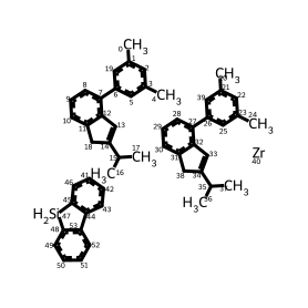 Cc1cc(C)cc(-c2cccc3c2C=C(C(C)C)C3)c1.Cc1cc(C)cc(-c2cccc3c2C=C(C(C)C)C3)c1.[Zr].c1ccc2c(c1)[SiH2]c1ccccc1-2